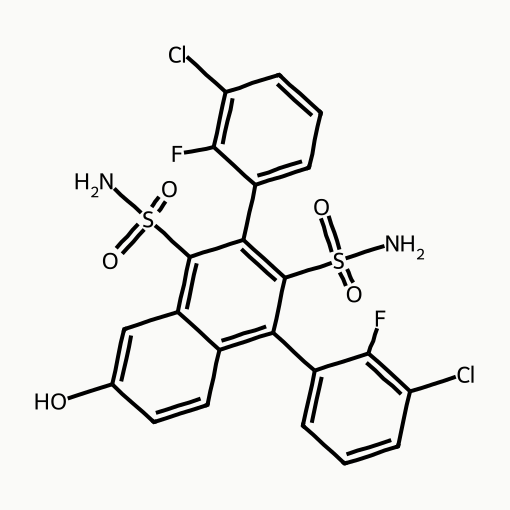 NS(=O)(=O)c1c(-c2cccc(Cl)c2F)c(S(N)(=O)=O)c2cc(O)ccc2c1-c1cccc(Cl)c1F